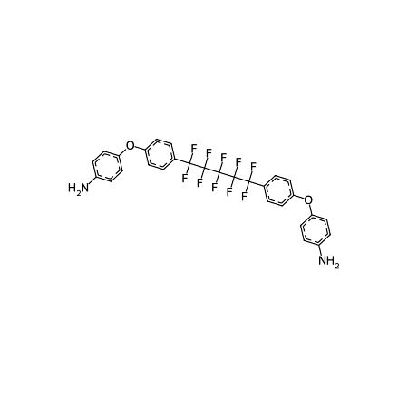 Nc1ccc(Oc2ccc(C(F)(F)C(F)(F)C(F)(F)C(F)(F)C(F)(F)c3ccc(Oc4ccc(N)cc4)cc3)cc2)cc1